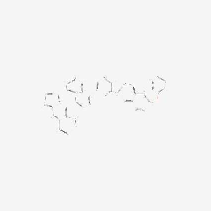 c1ccc2c(-c3ccc(-c4ccc5sc6cc7c(ccc8oc9ccccc9c87)cc6c5c4)c4ccccc34)c3ccccc3cc2c1